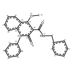 O=C(NCc1ccccc1)c1c(OI)c2ccccc2n(-c2ccccc2)c1=O